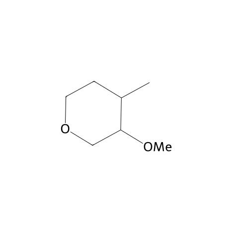 COC1COCCC1C